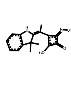 CC(=C1Nc2ccccc2C1(C)C)c1c(O)c(=O)c1=NO